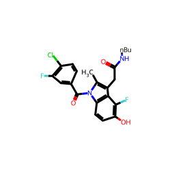 CCCCNC(=O)Cc1c(C)n(C(=O)c2ccc(Cl)c(F)c2)c2ccc(O)c(F)c12